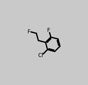 FCCc1c(F)cccc1Cl